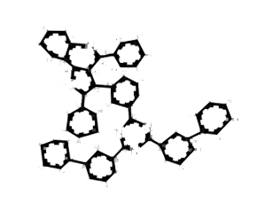 c1ccc(-c2cccc(-c3nc(-c4cccc(-c5ccccc5)c4)nc(-c4cccc(-c5c(-c6ccccc6)sc6c5c(-c5ccccc5)nc5ccccc56)c4)n3)c2)cc1